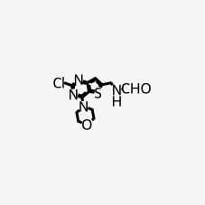 O=CNCc1cc2nc(Cl)nc(N3CCOCC3)c2s1